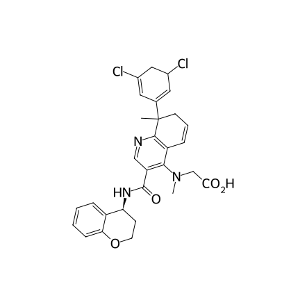 CN(CC(=O)O)c1c(C(=O)N[C@H]2CCOc3ccccc32)cnc2c1C=CCC2(C)C1=CC(Cl)CC(Cl)=C1